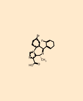 C[C@H]1N=C(C2=CCCC=C2F)c2cc(Br)ccc2-n2cnc(C(=O)O)c21